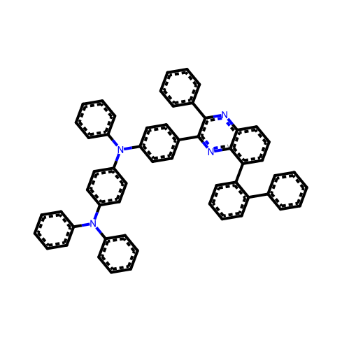 c1ccc(-c2ccccc2-c2cccc3nc(-c4ccccc4)c(-c4ccc(N(c5ccccc5)c5ccc(N(c6ccccc6)c6ccccc6)cc5)cc4)nc23)cc1